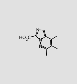 Cc1nn2c(C(=O)O)ncc2c(C)c1C